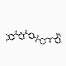 Cc1cc(Nc2ccnc(Nc3ccc(S(=O)(=O)N4CCCC(CNCc5ccncc5N)C4)cc3)n2)ccc1F